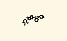 C=C1CCC(N2Cc3cc(C[C@H]4CCCC[C@@H]4NC4CCC(C)(C)CC4)ccc3C2=O)C(=O)N1